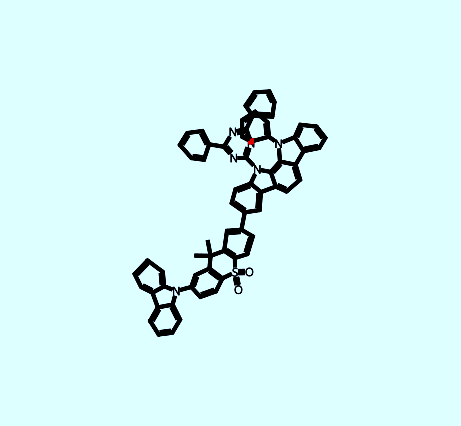 CC1(C)c2cc(-c3ccc4c(c3)c3ccc5c6ccccc6n(-c6ccccc6)c5c3n4-c3nc(-c4ccccc4)nc(-c4ccccc4)n3)ccc2S(=O)(=O)c2ccc(-n3c4ccccc4c4ccccc43)cc21